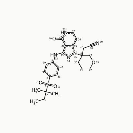 CCC(C)(C)S(=O)(=O)c1ccc(Nc2nn(C3(CC#N)CCCOC3)c3cc[nH]c(=O)c23)cc1